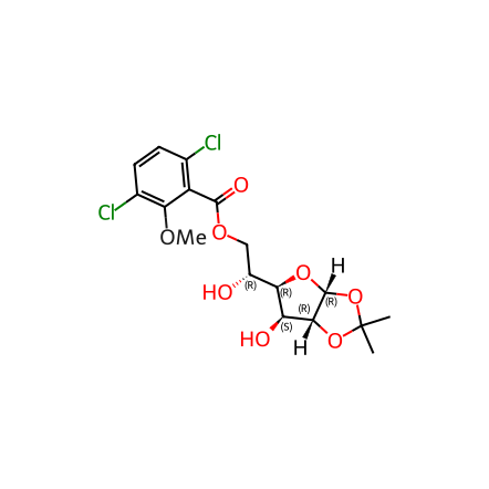 COc1c(Cl)ccc(Cl)c1C(=O)OC[C@@H](O)[C@H]1O[C@@H]2OC(C)(C)O[C@@H]2[C@H]1O